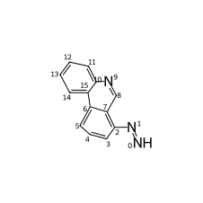 N=Nc1cccc2c1cnc1ccccc12